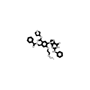 COCCOc1cc(COC(=O)c2ccccc2)c(C(=O)OC2CCOC2)cc1-n1cnc2c(=O)[nH]c(Nc3ccccc3)nc21